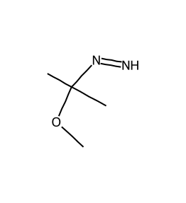 COC(C)(C)N=N